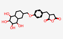 O=C1CC(Cc2ccc(OCC3CCC4C(O)C(O)C(O)C(O)C4C3)cc2)C(=O)O1